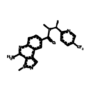 C[C@@H](c1ccc(C(F)(F)F)cn1)N(C)C(=O)c1ccc2nc(N)c3c(cnn3C)c2c1